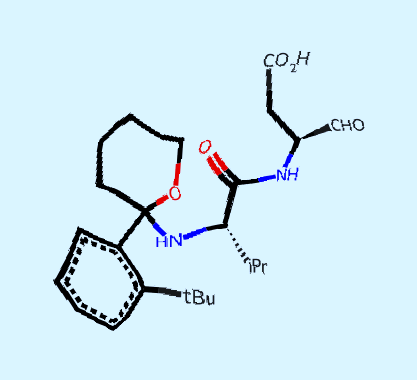 CC(C)[C@H](NC1(c2ccccc2C(C)(C)C)CCCCO1)C(=O)N[C@H](C=O)CC(=O)O